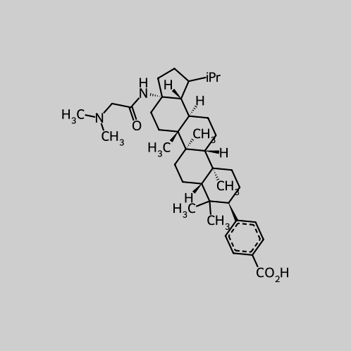 CC(C)C1CC[C@]2(NC(=O)CN(C)C)CC[C@]3(C)[C@H](CC[C@@H]4[C@@]5(C)CC[C@@H](c6ccc(C(=O)O)cc6)C(C)(C)[C@@H]5CC[C@]43C)[C@@H]12